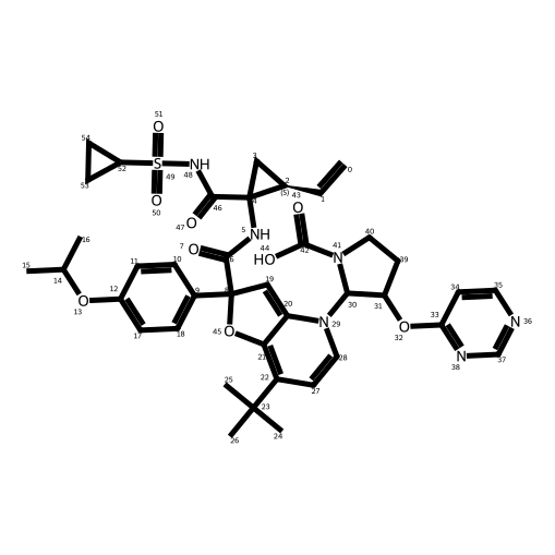 C=C[C@@H]1CC1(NC(=O)C1(c2ccc(OC(C)C)cc2)C=C2C(=C(C(C)(C)C)C=CN2C2C(Oc3ccncn3)CCN2C(=O)O)O1)C(=O)NS(=O)(=O)C1CC1